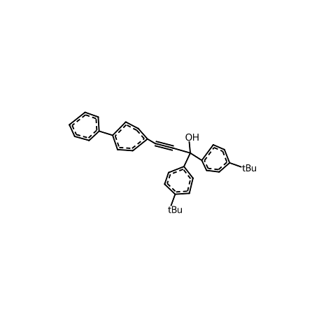 CC(C)(C)c1ccc(C(O)(C#Cc2ccc(-c3ccccc3)cc2)c2ccc(C(C)(C)C)cc2)cc1